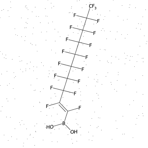 OB(O)C(F)=C(F)C(F)(F)C(F)(F)C(F)(F)C(F)(F)C(F)(F)C(F)(F)C(F)(F)C(F)(F)F